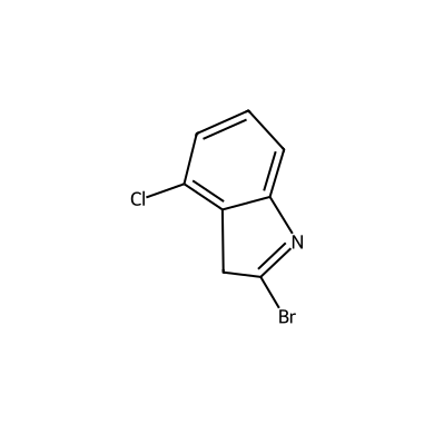 Clc1cccc2c1CC(Br)=N2